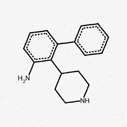 Nc1cccc(-c2ccccc2)c1C1CCNCC1